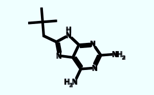 CC(C)(C)Cc1nc2c(N)nc(N)nc2[nH]1